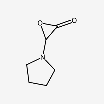 O=C1OC1N1CCCC1